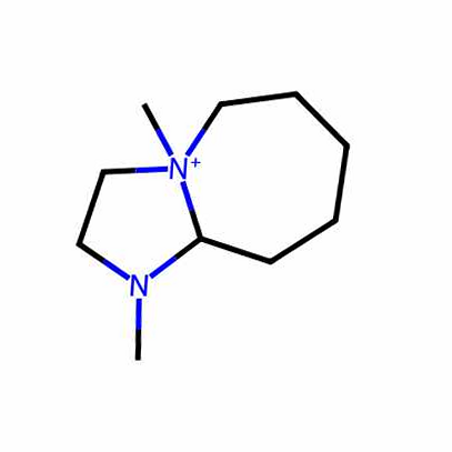 CN1CC[N+]2(C)CCCCCC12